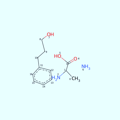 CC(N)C(=O)O.N.OCCCc1ccccc1